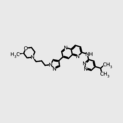 CC(C)c1cnnc(Nc2ccc3ncc(-c4cnn(CCCN5CCO[C@H](C)C5)c4)cc3n2)c1